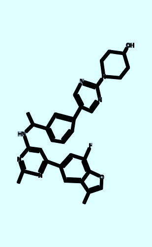 Cc1nc(NC(C)c2cccc(-c3cnc(N4CCC(O)CC4)nc3)c2)cc(-c2cc(F)c3occ(C)c3c2)n1